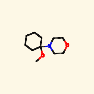 COC1(N2CCOCC2)CCCCC1